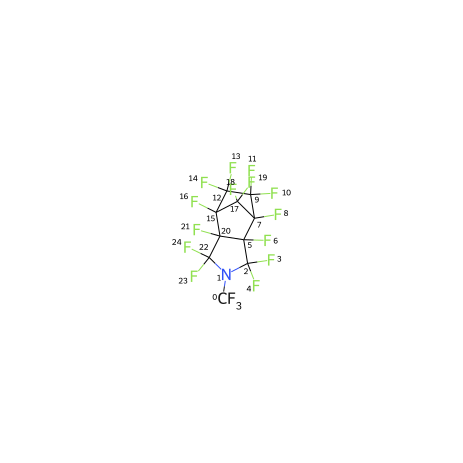 FC(F)(F)N1C(F)(F)C2(F)C3(F)C(F)(F)C(F)(F)C(F)(C3(F)F)C2(F)C1(F)F